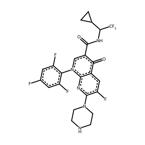 O=C(NC(C1CC1)C(F)(F)F)c1cn(-c2c(F)cc(F)cc2F)c2nc(N3CCNCC3)c(F)cc2c1=O